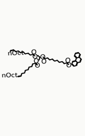 CCCCCCCC/C=C\CCCCCCCC(=O)OCC(COC(=O)CCCCCCC/C=C\CCCCCCCC)OC(=O)CCCCCCCCC(=O)Oc1ccc2ccc3ccccc3c2c1